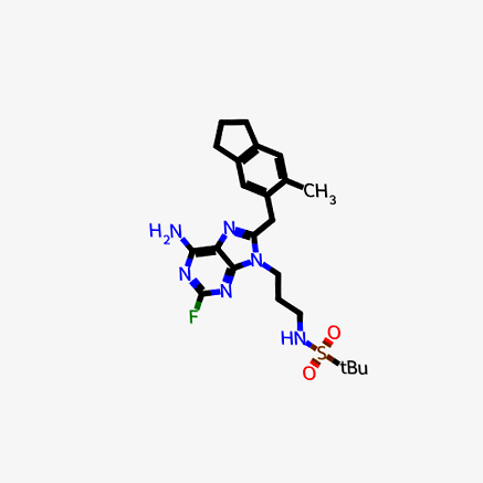 Cc1cc2c(cc1Cc1nc3c(N)nc(F)nc3n1CCCNS(=O)(=O)C(C)(C)C)CCC2